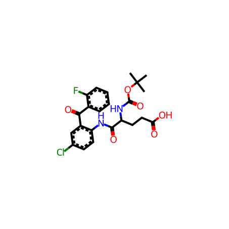 CC(C)(C)OC(=O)NC(CCC(=O)O)C(=O)Nc1ccc(Cl)cc1C(=O)c1ccccc1F